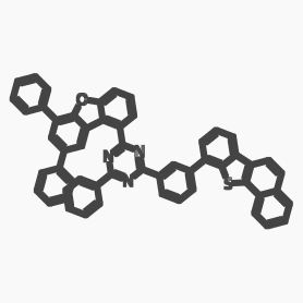 c1ccc(-c2cc(-c3ccccc3)c3oc4cccc(-c5nc(-c6ccccc6)nc(-c6cccc(-c7cccc8c7sc7c9ccccc9ccc87)c6)n5)c4c3c2)cc1